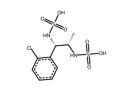 C[C@H](NS(=O)(=O)O)[C@@H](NS(=O)(=O)O)c1ccccc1Cl